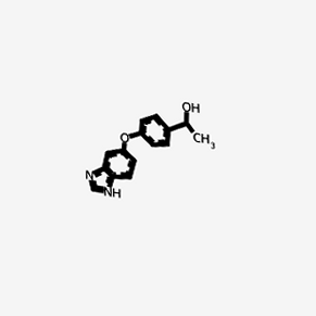 CC(O)c1ccc(Oc2ccc3[nH]cnc3c2)cc1